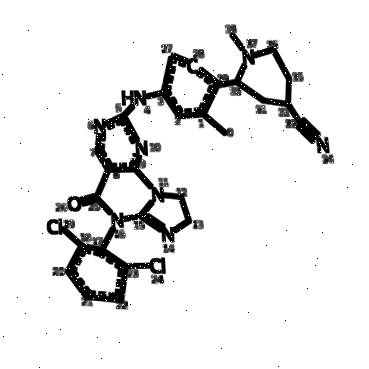 Cc1cc(Nc2ncc3c(n2)N2CCN=C2N(c2c(Cl)cccc2Cl)C3=O)ccc1C1CC(C#N)CCN1C